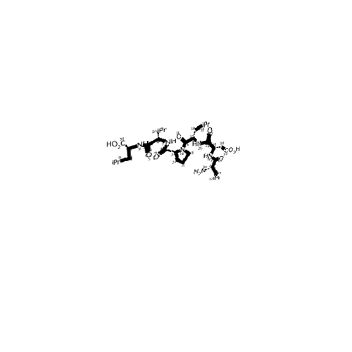 CC(C)C[C@H](NC(=O)[C@@H](NC(=O)[C@@H]1CCCN1C(=O)[C@H](CC(C)C)NC(=O)[C@H](CC(=O)O)NC(=O)[C@@H](N)CC(C)C)C(C)C)C(=O)O